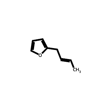 CC=CCc1ccco1